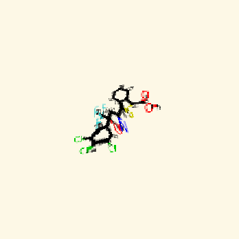 COC(=O)c1sc(C2=NOC(c3cc(Cl)c(Cl)c(Cl)c3)(C(F)(F)F)C2)c2c1CCCC2